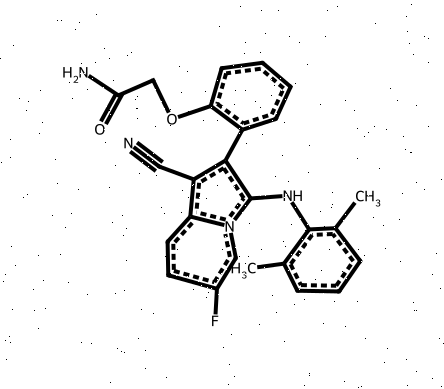 Cc1cccc(C)c1Nc1c(-c2ccccc2OCC(N)=O)c(C#N)c2ccc(F)cn12